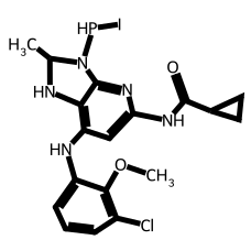 COc1c(Cl)cccc1Nc1cc(NC(=O)C2CC2)nc2c1NC(C)N2PI